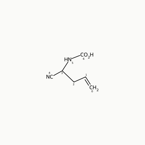 C=CCC(C#N)NC(=O)O